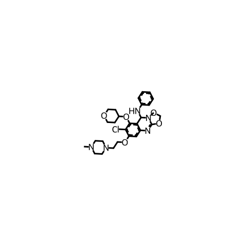 CN1CCN(CCOc2cc3c(c(OC4CCOCC4)c2Cl)C(Nc2ccccc2)N2OCOC2=N3)CC1